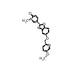 COc1ccc(COc2ccc3oc(-c4ccc(=O)n(C)c4)nc3c2)nc1